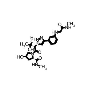 CNC(=O)CNc1cccc(-c2cn([C@H](C(=O)N3C[C@H](O)C[C@H]3C(=O)NC)C(C)(C)C)nn2)c1